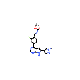 Cn1cc(-c2cc3c(-c4ccc(CNC(=O)OC(C)(C)C)c(F)c4)ncnc3[nH]2)cn1